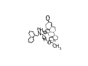 CC(=O)[C@H]1CCC2C3CCC4=CC(=O)CC[C@]4(C)C3C(OC(=O)NCc3cccc4ccccc34)C[C@@]21C